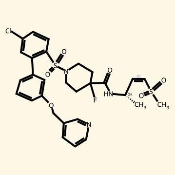 C[C@@H](/C=C\S(C)(=O)=O)NC(=O)C1(F)CCN(S(=O)(=O)c2ccc(Cl)cc2-c2cccc(OCc3cccnc3)c2)CC1